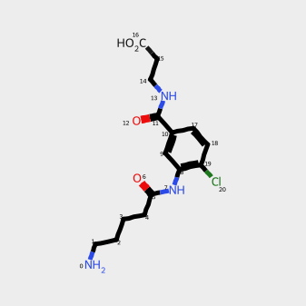 NCCCCC(=O)Nc1cc(C(=O)NCCC(=O)O)ccc1Cl